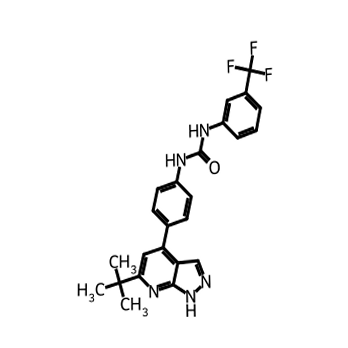 CC(C)(C)c1cc(-c2ccc(NC(=O)Nc3cccc(C(F)(F)F)c3)cc2)c2cn[nH]c2n1